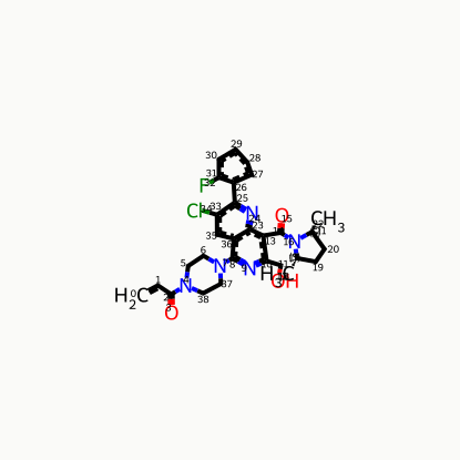 C=CC(=O)N1CCN(c2nc(CO)c(C(=O)N3[C@@H](C)CC[C@@H]3C)c3nc(-c4ccccc4F)c(Cl)cc23)CC1